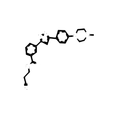 CN1CCN(c2ccc(-c3cc(-c4cccc(C(=O)NCCC#N)c4)n[nH]3)cc2)CC1